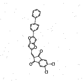 O=C1C(=Cc2cc3oc(-c4ccc(-c5ccccc5)cc4)cc3o2)C(=O)c2cc(Cl)c(Cl)cc21